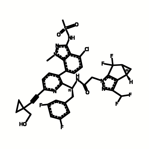 Cn1nc(NS(C)(=O)=O)c2c(Cl)ccc(-c3ccc(C#CC4(CO)CC4)nc3[C@H](Cc3cc(F)cc(F)c3)NC(=O)Cn3nc(C(F)F)c4c3C(F)(F)C3C[C@H]43)c21